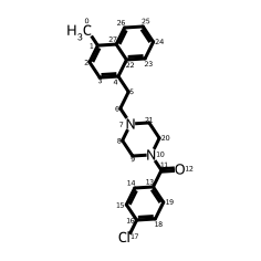 Cc1ccc(CCN2CCN(C(=O)c3ccc(Cl)cc3)CC2)c2ccccc12